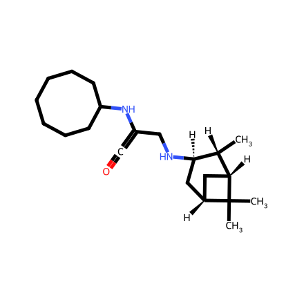 C[C@@H]1[C@H]2C[C@@H](C[C@H]1NCC(=C=O)NC1CCCCCCC1)C2(C)C